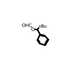 CCCCC(O[C]=O)c1ccccc1